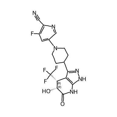 N#Cc1ncc(N2CCC(c3n[nH]c4c3[C@@H](C(F)(F)F)[C@@H](O)C(=O)N4)CC2)cc1F